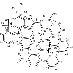 CC(C)c1cccc(/C(=N\c2ccccc2)c2c(/C(=N/c3ccccc3)c3cccc(C(C)C)c3)c3ccc4oc5c(C(C)(C)C)cccc5c4c3c3c2ccc2c4cccc(C(C)(C)C)c4oc23)c1